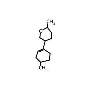 CC1CC=C(C2CCC(C)OC2)CC1